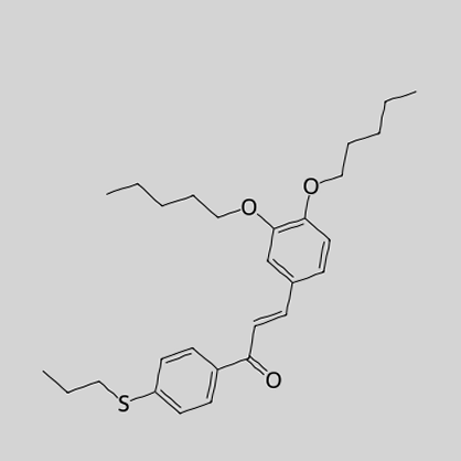 CCCCCOc1ccc(/C=C/C(=O)c2ccc(SCCC)cc2)cc1OCCCCC